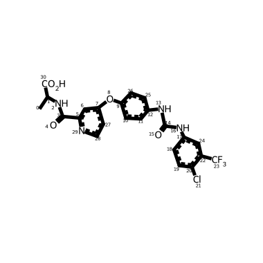 CC(NC(=O)c1cc(Oc2ccc(NC(=O)Nc3ccc(Cl)c(C(F)(F)F)c3)cc2)ccn1)C(=O)O